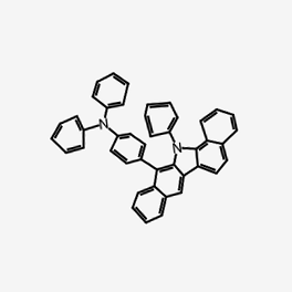 c1ccc(N(c2ccccc2)c2ccc(-c3c4ccccc4cc4c5ccc6ccccc6c5n(-c5ccccc5)c34)cc2)cc1